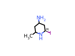 CC1CC(N)C[C@@H](I)N1